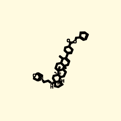 CC1C(C2=CCC(C(=O)OCc3ccccc3)CC2)=CCC2(C)C1CCC1(C)C2CCC2[C@H]3CCCC3(NCCN3CC4CC3CO4)CC[C@]21C